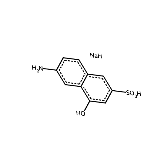 Nc1ccc2cc(S(=O)(=O)O)cc(O)c2c1.[NaH]